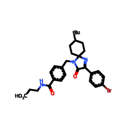 CC(C)(C)C1CCC2(CC1)N=C(c1ccc(Br)cc1)C(=O)N2Cc1ccc(C(=O)NCCC(=O)O)cc1